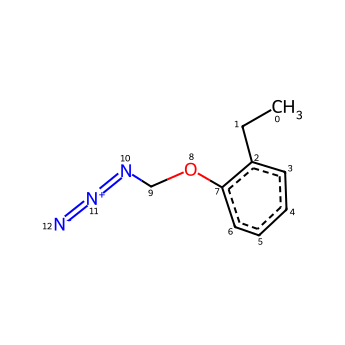 CCc1ccccc1OCN=[N+]=[N-]